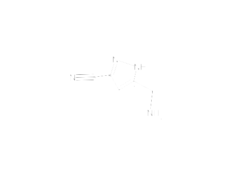 N#Cc1cc(CN)[nH]n1